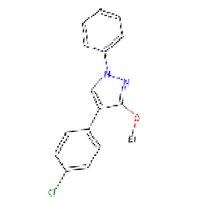 CCOc1nn(-c2ccccc2)cc1-c1ccc(Cl)cc1